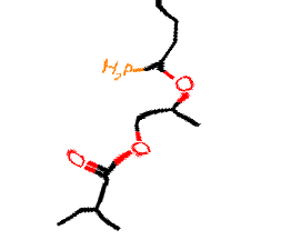 CCC(P)OC(C)COC(=O)C(C)C